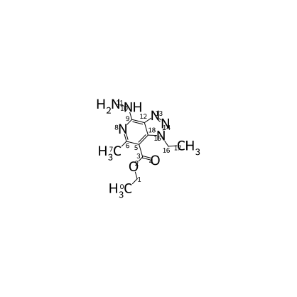 CCOC(=O)c1c(C)nc(NN)c2nnn(CC)c12